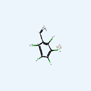 C=Cc1c(F)c(F)c(F)c(F)c1F.S